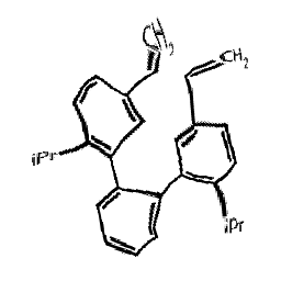 C=Cc1ccc(C(C)C)c(-c2ccccc2-c2cc(C=C)ccc2C(C)C)c1